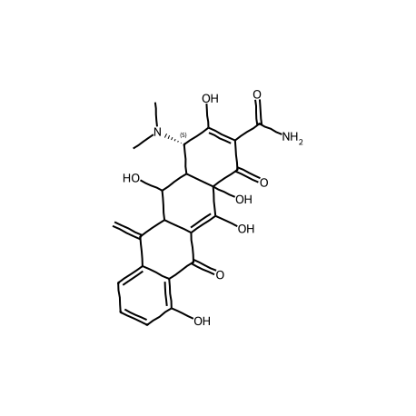 C=C1c2cccc(O)c2C(=O)C2=C(O)C3(O)C(=O)C(C(N)=O)=C(O)[C@@H](N(C)C)C3C(O)C12